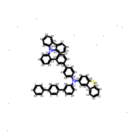 c1ccc(-c2ccc(-c3cccc(N(c4ccc(-c5cccc(-c6ccccc6-n6c7ccccc7c7ccccc76)c5)cc4)c4ccc5sc6ccccc6c5c4)c3)cc2)cc1